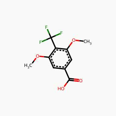 COc1cc(C(=O)O)cc(OC)c1C(F)(F)F